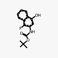 CC(C)(C)OC(=O)Nc1cc(O)c2ccccc2c1F